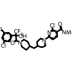 CNC(=O)c1ccc(N2CCC(CC3CCN(C(=O)C(O)(c4cc(Cl)cc(Cl)c4)C(F)(F)F)CC3)CC2)nc1Cl